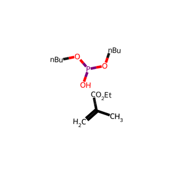 C=C(C)C(=O)OCC.CCCCOP(O)OCCCC